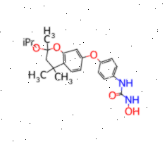 CC(C)OC1(C)CC(C)(C)c2ccc(Oc3ccc(NC(=O)NO)cc3)cc2O1